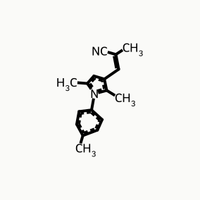 C/C(C#N)=C/c1cc(C)n(-c2ccc(C)cc2)c1C